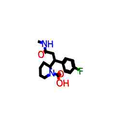 CNC(=O)CC(c1ccc(F)cc1)C1CCCCN1C(=O)O